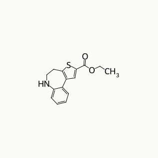 CCOC(=O)c1cc2c(s1)CCNc1ccccc1-2